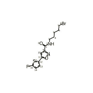 O=C(NCCCCCBr)c1cc(-c2ccc(F)s2)on1